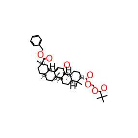 CC(C)(C)C(=O)OCOC(=O)[C@H]1CC[C@]2(C)[C@H]3C(=O)C=C4[C@@H]5C[C@@](C)(C(=O)OCc6ccccc6)CC[C@]5(C)CC[C@@]4(C)[C@]3(C)CC[C@H]2C1(C)C